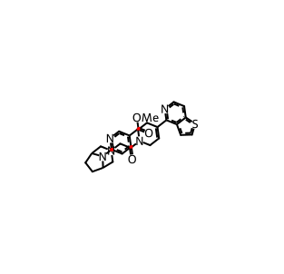 COC(=O)c1ccc(N2C3CCC2CN(CC(=O)N2CC=C(c4nccc5sccc45)CC2)C3)nc1